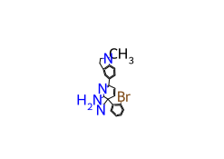 CN1CCc2cc(C3=NC(N)C(C#N)(c4ccccc4Br)C=C3)ccc21